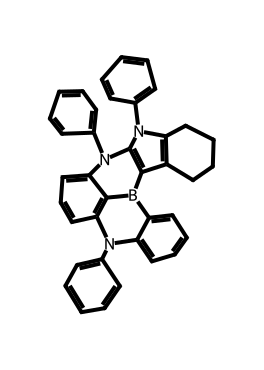 c1ccc(N2c3ccccc3B3c4c2cccc4N(c2ccccc2)c2c3c3c(n2-c2ccccc2)CCCC3)cc1